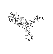 CC1(C)C(=O)CC[C@]2(C)[C@H]3CC[C@@H]4[C@H]5[C@H](CCOS(C)(=O)=O)CC[C@]5(COC5CCCCO5)CC[C@@]4(C)[C@]3(C)CC[C@@H]12